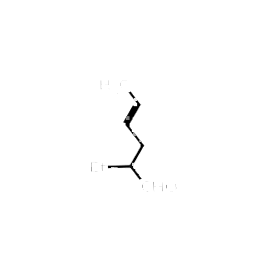 C/C=C/CC(C=O)CC